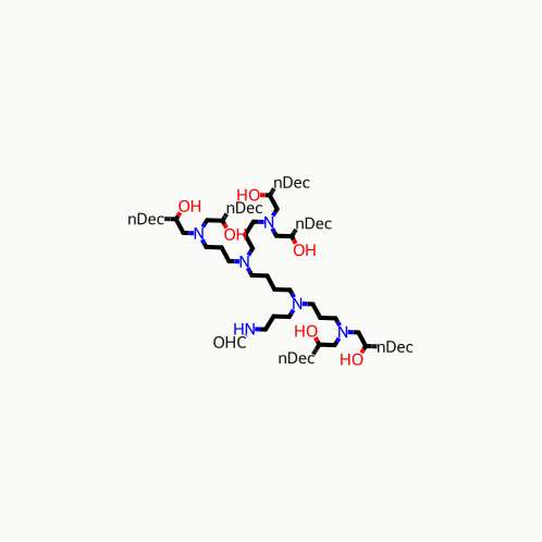 CCCCCCCCCCC(O)CN(CCCN(CCCCN(CCCN(CC(O)CCCCCCCCCC)CC(O)CCCCCCCCCC)CCCN(CC(O)CCCCCCCCCC)CC(O)CCCCCCCCCC)CCCNC=O)CC(O)CCCCCCCCCC